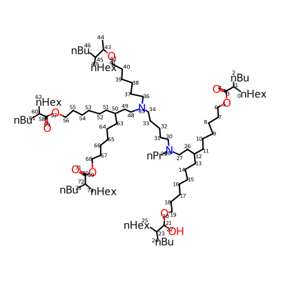 CCCCCCC(CCCC)C(=O)OCCCCCCC(CCCCCCCOC(O)C(CCCC)CCCCCC)CCN(CCC)CCCCCN(CCCCCCOC(C)C(CCCC)CCCCCC)CCC(CCCCCCOC(=O)C(CCCC)CCCCCC)CCCCCCOC(=O)C(CCCC)CCCCCC